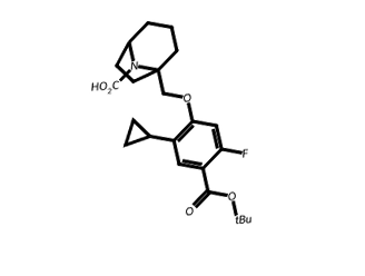 CC(C)(C)OC(=O)c1cc(C2CC2)c(OCC23CCCC(CC2)N3C(=O)O)cc1F